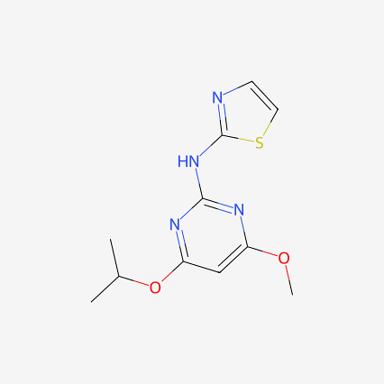 COc1cc(OC(C)C)nc(Nc2nccs2)n1